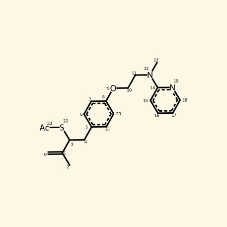 C=C(C)C(Cc1ccc(OCCN(C)c2ccccn2)cc1)SC(C)=O